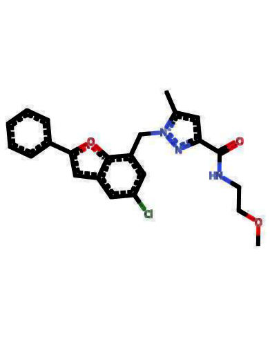 COCCNC(=O)c1cc(C)n(Cc2cc(Cl)cc3cc(-c4ccccc4)oc23)n1